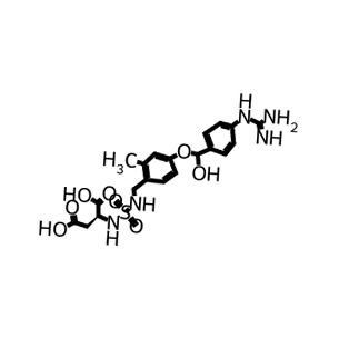 Cc1cc(OC(O)c2ccc(NC(=N)N)cc2)ccc1CNS(=O)(=O)N[C@@H](CC(=O)O)C(=O)O